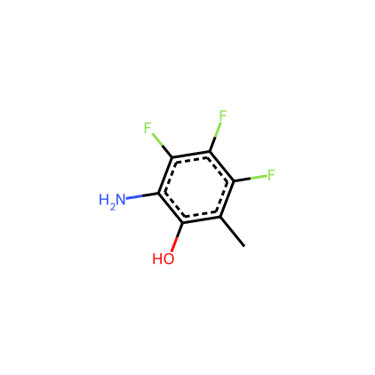 Cc1c(O)c(N)c(F)c(F)c1F